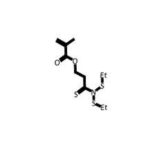 C=C(C)C(=O)OCCC(=S)N(SCC)SCC